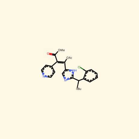 CCCCC(c1ncc(C(OC(C)=O)=C(C(=O)OC)c2ccncc2)[nH]1)c1ccccc1Cl